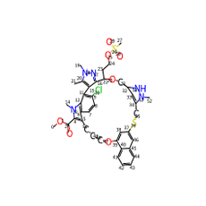 COC(=O)c1c2c3ccc(Cl)c(c3n1C)-c1c(nn(C)c1C)C(CCOS(C)(=O)=O)OCC1C=C(CSc3cc(c4ccccc4c3)OCCC2)N(C)N1